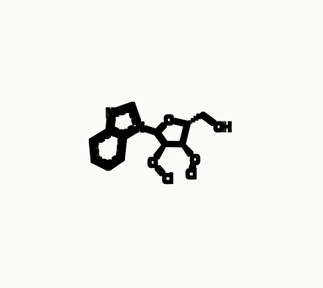 OC[C@H]1OC(n2cnc3ccccc32)[C@H](OCl)[C@@H]1OCl